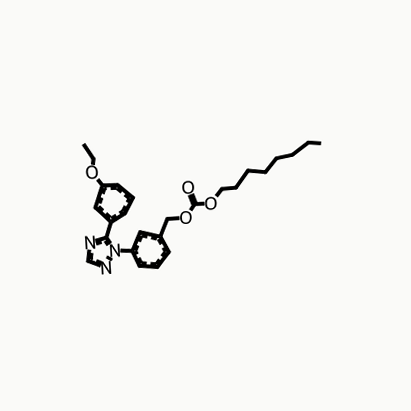 CCCCCCCCOC(=O)OCc1cccc(-n2ncnc2-c2cccc(OCC)c2)c1